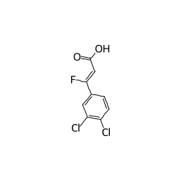 O=C(O)C=C(F)c1ccc(Cl)c(Cl)c1